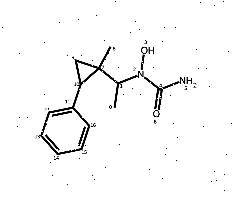 CC(N(O)C(N)=O)C1(C)CC1c1ccccc1